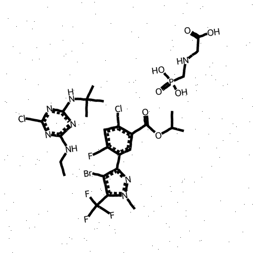 CC(C)OC(=O)c1cc(-c2nn(C)c(C(F)(F)F)c2Br)c(F)cc1Cl.CCNc1nc(Cl)nc(NC(C)(C)C)n1.O=C(O)CNCP(=O)(O)O